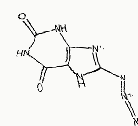 [N-]=[N+]=NC1=[N+]c2[nH]c(=O)[nH]c(=O)c2N1